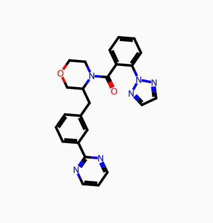 O=C(c1ccccc1-n1nccn1)N1CCOCC1Cc1cccc(-c2ncccn2)c1